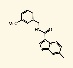 COc1cccc(CNC(=O)c2cnc3cc(C)ccn23)c1